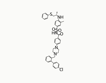 Cc1cc(S(=O)(=O)NC(=O)c2ccc(N3CCN(Cc4ccccc4-c4ccc(Cl)cc4)CC3)cc2)ccc1N[C@H](C)CSc1ccccc1